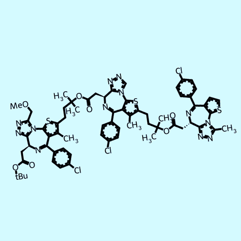 COCc1nnc2n1-c1sc(CCC(C)(C)OC(=O)C[C@@H]3N=C(c4ccc(Cl)cc4)c4c(sc(CCC(C)(C)OC(=O)C[C@@H]5N=C(c6ccc(Cl)cc6)c6ccsc6-n6c(C)nnc65)c4C)-n4cnnc43)c(C)c1C(c1ccc(Cl)cc1)=N[C@H]2CC(=O)OC(C)(C)C